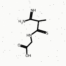 CC(C(=N)N)C(=S)NCC(=O)O